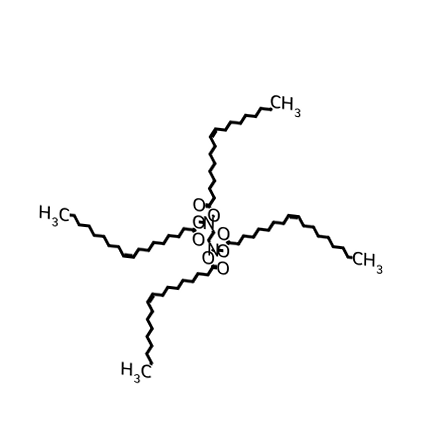 CCCCCCCC/C=C\CCCCCCCC(=O)ON(CCN(OC(=O)CCCCCCC/C=C\CCCCCCCC)OC(=O)CCCCCCC/C=C\CCCCCCCC)OC(=O)CCCCCCC/C=C\CCCCCCCC